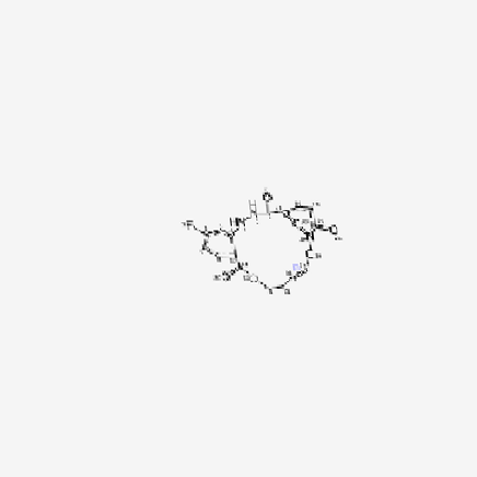 O=C1NNc2cc(F)ccc2C(=O)OCC/C=C/Cn2cc1ccc2=O